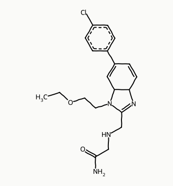 CCOCCN1C(CNCC(N)=O)=NC2C=CC(c3ccc(Cl)cc3)=CC21